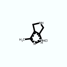 Cc1n[nH]c2c1CNC2.Cl